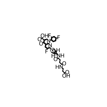 O=C(O)CCNC(=O)CCC(=O)N[C@H]1[C@@H]2CN(c3nc4c(cc3F)c(=O)c(C(=O)O)cn4-c3ccc(F)cc3F)C[C@@H]21